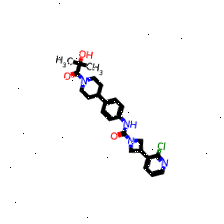 CC(C)(O)C(=O)N1CCC(c2ccc(NC(=O)N3CC(c4cccnc4Cl)C3)cc2)CC1